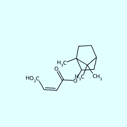 CC1(C)C2CCC1(C)C(OC(=O)/C=C\C(=O)O)C2